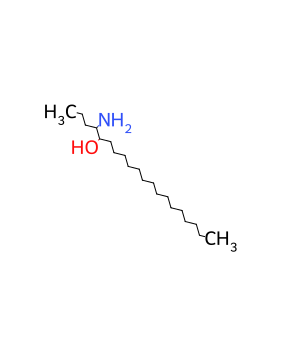 CCCCCCCCCCCCCCCC(O)C(N)CCC